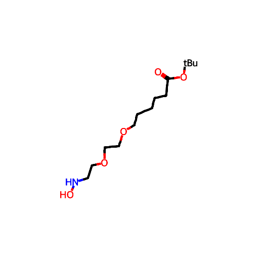 CC(C)(C)OC(=O)CCCCCOCCOCCNO